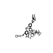 CCn1cc(-c2ccc3oc4c(c3c2)CC(C)N(CC(C)(C)F)[C@H]4c2c(F)cc(/C=C/C=O)cc2F)cn1